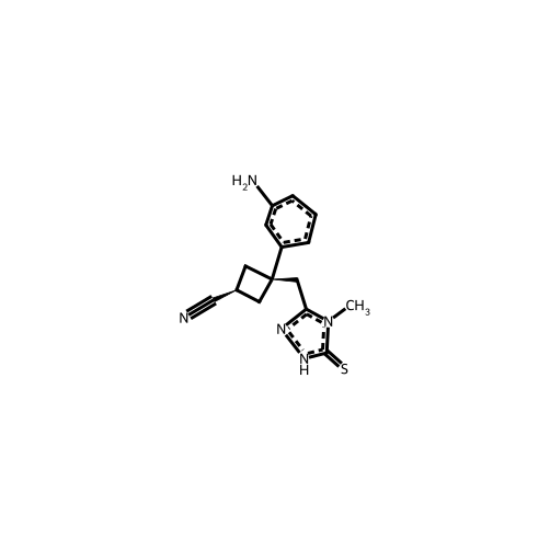 Cn1c(C[C@]2(c3cccc(N)c3)C[C@H](C#N)C2)n[nH]c1=S